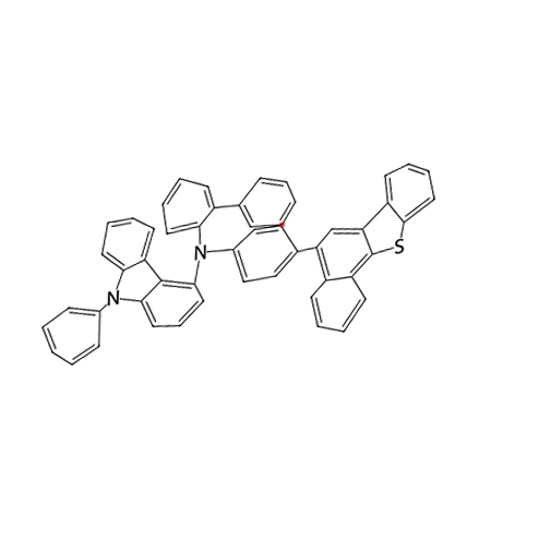 c1ccc(-c2ccccc2N(c2ccc(-c3cc4c5ccccc5sc4c4ccccc34)cc2)c2cccc3c2c2ccccc2n3-c2ccccc2)cc1